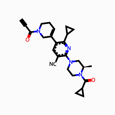 C#CC(=O)N1CCC=C(c2cc(C#N)c(N3CCN(C(=O)C4CC4)[C@H](C)C3)nc2C2CC2)C1